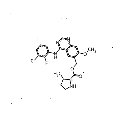 COc1cc2ncnc(Nc3cccc(Cl)c3F)c2cc1COC(=O)[C@H]1NCCC1C